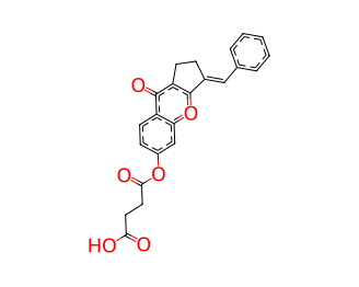 O=C(O)CCC(=O)Oc1ccc2c(=O)c3c(oc2c1)C(=Cc1ccccc1)CC3